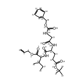 C=CCOC(=O)C(NC(=O)[C@H](CCC(=O)OC(C)(C)C)NC(=O)CNC(=O)OCc1ccccc1)C(C)CC